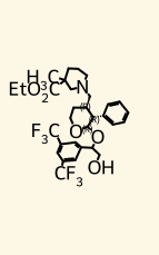 CCOC(=O)C1(C)CCCN(C[C@@H]2CCO[C@H](OC(CO)c3cc(C(F)(F)F)cc(C(F)(F)F)c3)[C@H]2c2ccccc2)C1